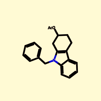 CC(=O)OC1CCc2c(n(Cc3ccccc3)c3ccccc23)C1